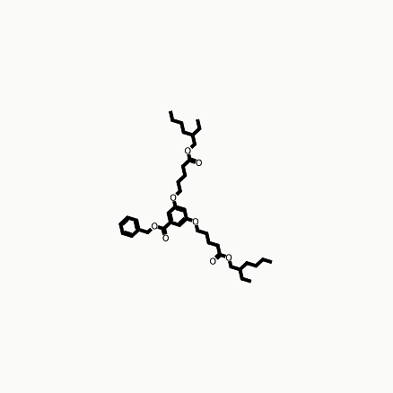 CCCCC(CC)COC(=O)CCCCOc1cc(OCCCCC(=O)OCC(CC)CCCC)cc(C(=O)OCc2ccccc2)c1